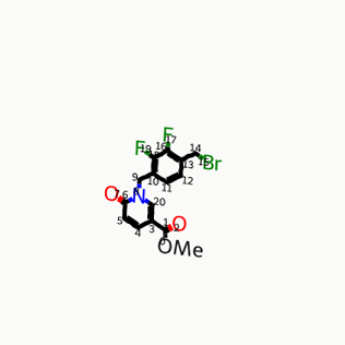 COC(=O)c1ccc(=O)n(Cc2ccc(CBr)c(F)c2F)c1